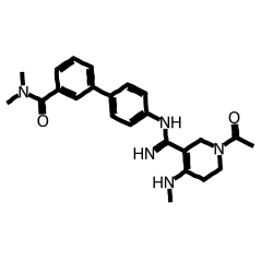 CNC1=C(C(=N)Nc2ccc(-c3cccc(C(=O)N(C)C)c3)cc2)CN(C(C)=O)CC1